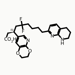 O=C(O)C[C@@H](CC(F)(F)CCCCc1ccc2c(n1)NCCC2)c1cnc2c(c1)OCCO2